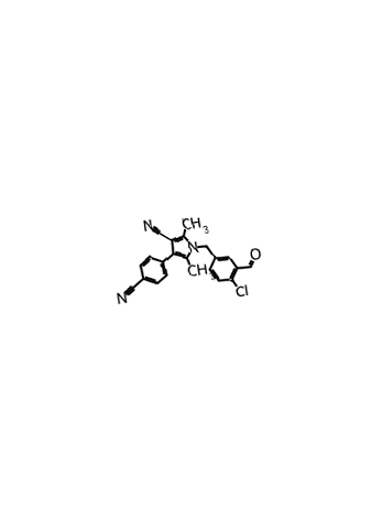 Cc1c(C#N)c(-c2ccc(C#N)cc2)c(C)n1Cc1ccc(Cl)c(C=O)c1